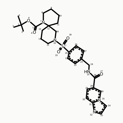 CC(C)(C)OC(=O)N1CCCCC12CCCN(S(=O)(=O)c1ccc(CNC(=O)c3ccc4nccn4c3)cc1)C2